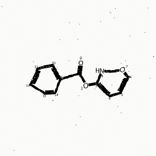 O=C(OC1=CC=CON1)c1ccccc1